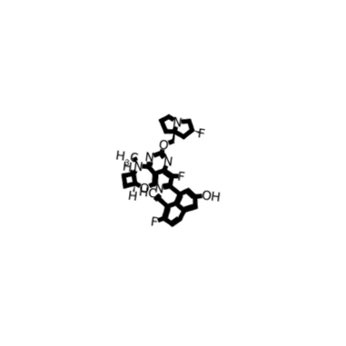 C#Cc1c(F)ccc2cc(O)cc(-c3nc4c5c(nc(OC[C@@]67CCCN6C[C@H](F)C7)nc5c3F)N(C)[C@H]3CC[C@@H]3O4)c12